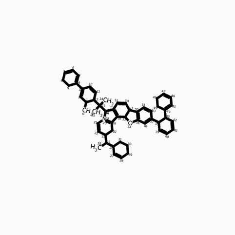 CC1C=C(C2=CC=CCC2)C=CC1C(C)(C)C1C2=C(C3=[N+]1C=CC(C(C)C1C=CCCC1)C3)C1Oc3cc(C4C=CC=CC4C4=CC=CCC4)ccc3C1C=C2